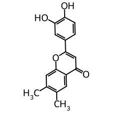 Cc1cc2oc(-c3ccc(O)c(O)c3)cc(=O)c2cc1C